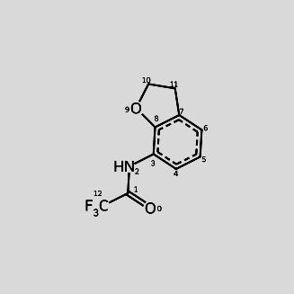 O=C(Nc1cccc2c1OCC2)C(F)(F)F